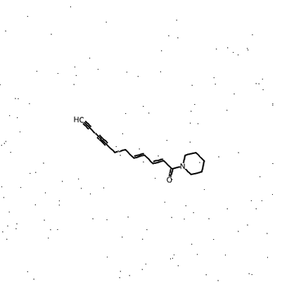 C#CC#CCC/C=C/C=C/C(=O)N1CCCCC1